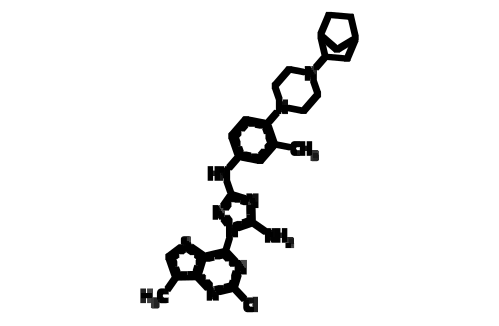 Cc1cc(Nc2nc(N)n(-c3nc(Cl)nc4c(C)csc34)n2)ccc1N1CCN(C2CC3CCC2C3)CC1